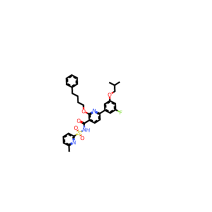 Cc1cccc(S(=O)(=O)NC(=O)c2ccc(-c3cc(F)cc(OCC(C)C)c3)nc2OCCCCc2ccccc2)n1